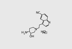 Cl.Cl.N#Cc1ccc2nccc(CCN3CC[C@H](N)[C@H](O)C3)c2c1